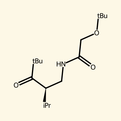 CC(C)[C@H](CNC(=O)COC(C)(C)C)C(=O)C(C)(C)C